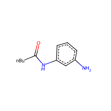 CCCCC(=O)Nc1cccc(N)c1